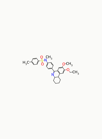 CCOc1cc2c(cc1OC)C(c1ccc(N(C)S(=O)(=O)c3ccc(C)cc3)cc1)=NC1CCCCC21